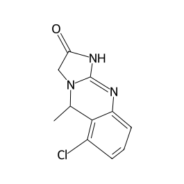 CC1c2c(Cl)cccc2N=C2NC(=O)CN21